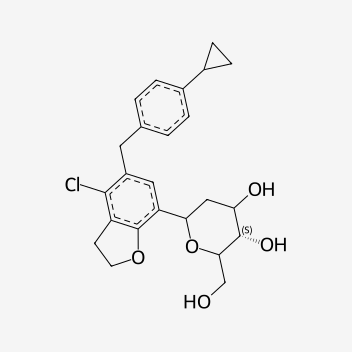 OCC1OC(c2cc(Cc3ccc(C4CC4)cc3)c(Cl)c3c2OCC3)CC(O)[C@@H]1O